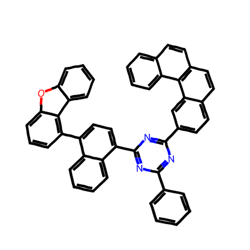 c1ccc(-c2nc(-c3ccc4ccc5ccc6ccccc6c5c4c3)nc(-c3ccc(-c4cccc5oc6ccccc6c45)c4ccccc34)n2)cc1